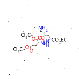 CCOC(=O)[C@H](CCCCN)NC(=O)N[C@@H](CCC(=O)OCC(Cl)(Cl)Cl)C(=O)OCC(Cl)(Cl)Cl